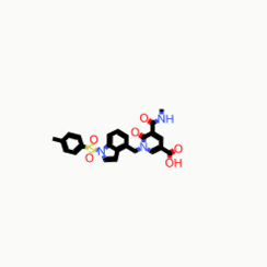 CNC(=O)c1cc(C(=O)O)cn(Cc2cccc3c2ccn3S(=O)(=O)c2ccc(C)cc2)c1=O